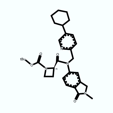 CN1Cc2cc(N(Cc3ccc(C4CCCCC4)cn3)C(=O)[C@H]3CCN3C(=O)OC(C)(C)C)ccc2C1=O